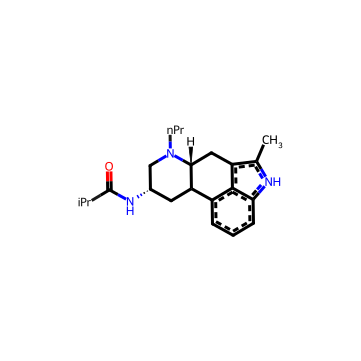 CCCN1C[C@@H](NC(=O)C(C)C)CC2c3cccc4[nH]c(C)c(c34)C[C@H]21